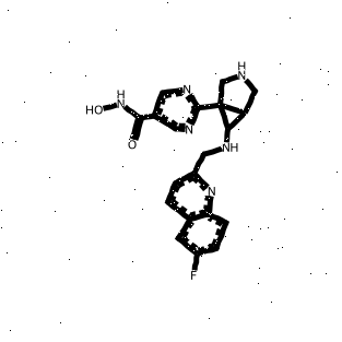 O=C(NO)c1cnc(C23CNCC2C3NCc2ccc3cc(F)ccc3n2)nc1